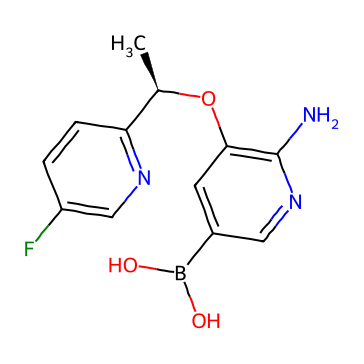 C[C@@H](Oc1cc(B(O)O)cnc1N)c1ccc(F)cn1